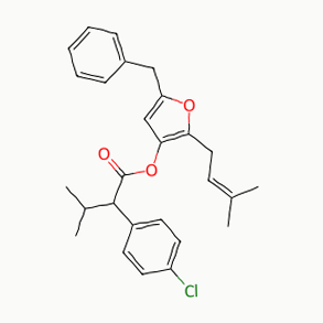 CC(C)=CCc1oc(Cc2ccccc2)cc1OC(=O)C(c1ccc(Cl)cc1)C(C)C